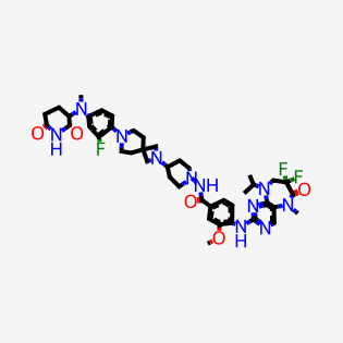 COc1cc(C(=O)NN2CCC(N3CC4(CCN(c5ccc(N(C)C6CCC(=O)NC6=O)cc5F)CC4)C3)CC2)ccc1Nc1ncc2c(n1)N(C(C)C)CC(F)(F)C(=O)N2C